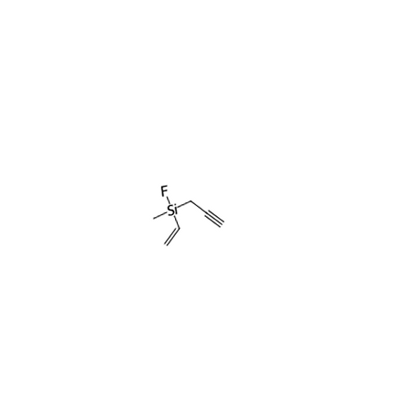 C#CC[Si](C)(F)C=C